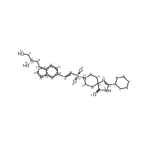 O=C1NC(C2CCCCC2)=NC12CCN(S(=O)(=O)C=Cc1ccc3c(ccn3C[C@H](O)CO)c1)CC2